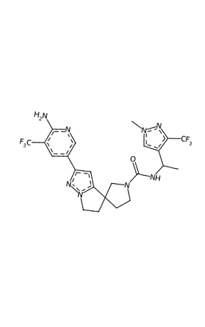 CC(NC(=O)N1CCC2(CCn3nc(-c4cnc(N)c(C(F)(F)F)c4)cc32)C1)c1cn(C)nc1C(F)(F)F